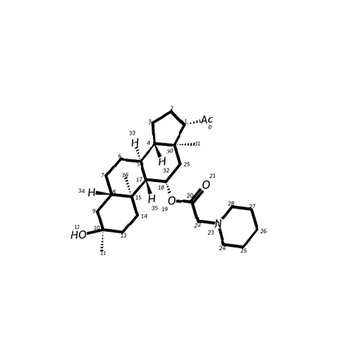 CC(=O)[C@H]1CC[C@H]2[C@@H]3CC[C@H]4C[C@](C)(O)CC[C@]4(C)[C@H]3[C@@H](OC(=O)CN3CCCCC3)C[C@]12C